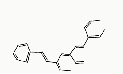 C=CC(/C=C/C(/C=C\C)=C/C)=C\C(=C/C)\C=C\c1ccccc1